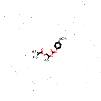 CSc1ccc(OC(=O)OC(C)COC(=O)C(C)C)cc1